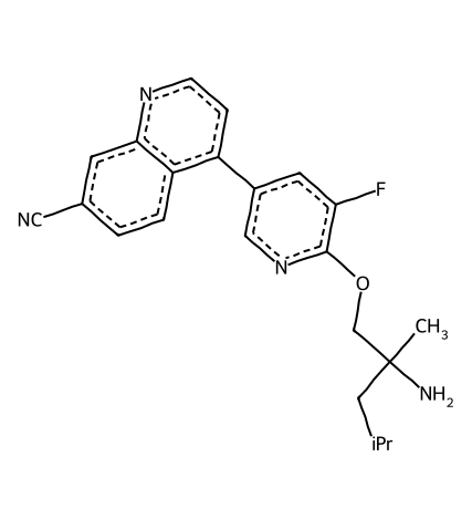 CC(C)CC(C)(N)COc1ncc(-c2ccnc3cc(C#N)ccc23)cc1F